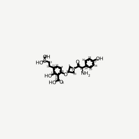 N[C@@H](C(=O)N1CC(Oc2ccc(CCB(O)O)c(O)c2C(=O)O)C1)c1ccc(O)cc1